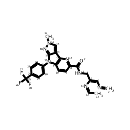 C=N/C=C(CNC(=O)c1ccc2c(n1)c1cn(C)nc1n2-c1ccc(C(F)(F)F)cc1)\N=C/C